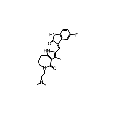 Cc1c(/C=C2\C(=O)Nc3ccc(F)cc32)[nH]c2c1C(=O)N(CCN(C)C)CCC2